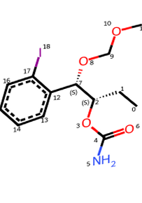 CC[C@H](OC(N)=O)[C@@H](OCOC)c1ccccc1I